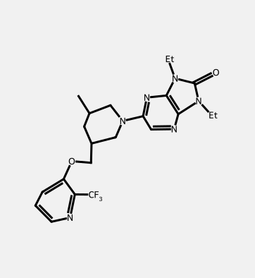 CCn1c(=O)n(CC)c2nc(N3CC(C)CC(COc4cccnc4C(F)(F)F)C3)cnc21